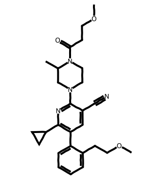 COCCC(=O)N1CCN(c2nc(C3CC3)c(-c3ccccc3CCOC)cc2C#N)CC1C